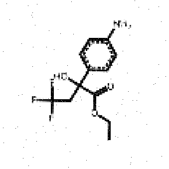 CCOC(=O)C(O)(CC(F)(F)F)c1ccc(N)cc1